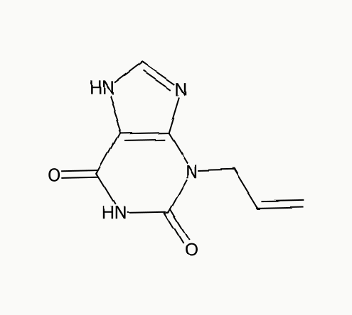 C=CCn1c(=O)[nH]c(=O)c2[nH]cnc21